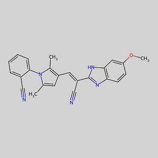 COc1ccc2nc(C(C#N)=Cc3cc(C)n(-c4ccccc4C#N)c3C)[nH]c2c1